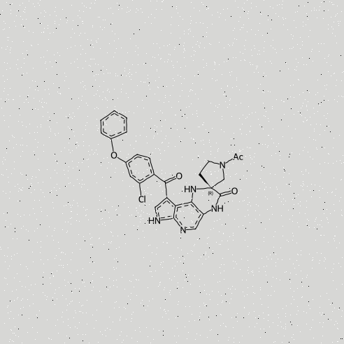 CC(=O)N1CC[C@]2(C1)Nc1c(cnc3[nH]cc(C(=O)c4ccc(Oc5ccccc5)cc4Cl)c13)NC2=O